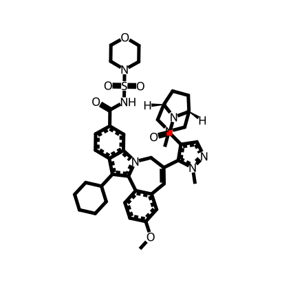 COc1ccc2c(c1)C=C(c1c(C(=O)N3[C@@H]4CC[C@H]3CN(C)C4)cnn1C)Cn1c-2c(C2CCCCC2)c2ccc(C(=O)NS(=O)(=O)N3CCOCC3)cc21